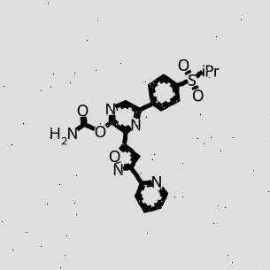 CC(C)S(=O)(=O)c1ccc(-c2cnc(OC(N)=O)c(-c3cc(-c4ccccn4)no3)n2)cc1